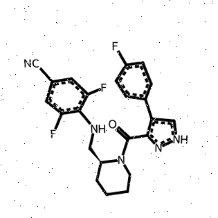 N#Cc1cc(F)c(NC[C@@H]2CCCCN2C(=O)c2n[nH]cc2-c2ccc(F)cc2)c(F)c1